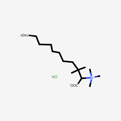 CCCCCCCCCCCCCCCCCC(C)(C)C(C(=O)[O-])[N+](C)(C)C.Cl